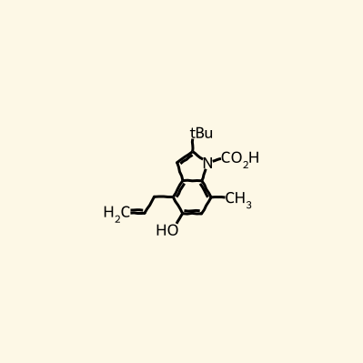 C=CCc1c(O)cc(C)c2c1cc(C(C)(C)C)n2C(=O)O